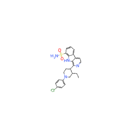 CCC1CN(c2ccc(Cl)cc2)CCC1c1nccc2c1[nH]c1c(S(N)(=O)=O)cccc12